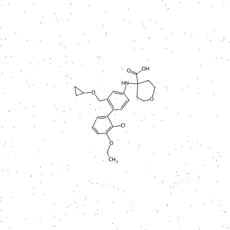 CCOc1cccc(-c2ccc(NC3(C(=O)O)CCOCC3)cc2COC2CC2)c1Cl